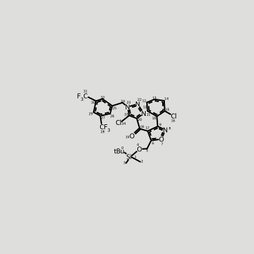 CC(C)(C)[Si](C)(C)OCc1onc(-c2ccccc2Cl)c1C(=O)c1nnn(Cc2cc(C(F)(F)F)cc(C(F)(F)F)c2)c1Cl